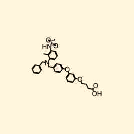 Cc1c(NS(C)(=O)=O)cccc1N(Cc1ccccc1)Cc1ccc(Oc2cccc(OCCCC(=O)O)c2)cc1